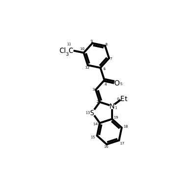 CCN1C(=CC(=O)c2cccc(C(Cl)(Cl)Cl)c2)Sc2ccccc21